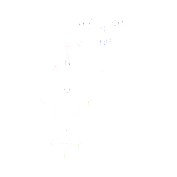 CN(C)NC(=O)c1cccc(Oc2c(F)cc(C(F)(F)F)cc2F)c1[N+](=O)[O-]